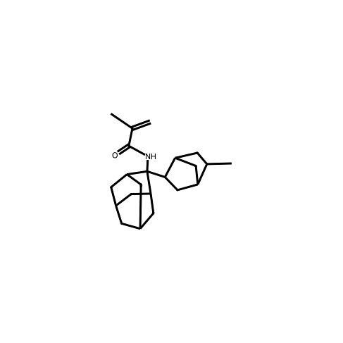 C=C(C)C(=O)NC1(C2CC3CC2CC3C)C2CC3CC(C2)CC1C3